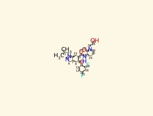 CC(C)Cn1ncc2cc(Oc3ccc(F)cc3F)c(C(=O)N[C@H]3CCCN(CCO)C3=O)cc21